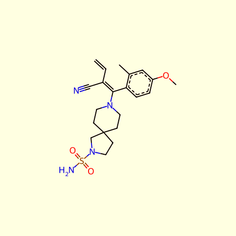 C=C/C(C#N)=C(\c1ccc(OC)cc1C)N1CCC2(CC1)CCN(S(N)(=O)=O)C2